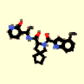 COc1cccc2[nH]c(C(=O)N3CC4(CCCC4)CC3C(=O)NC(C#N)c3ccc[nH]c3=O)cc12